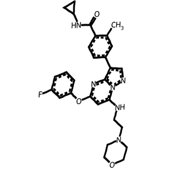 Cc1cc(-c2cnn3c(NCCN4CCOCC4)cc(Oc4cccc(F)c4)nc23)ccc1C(=O)NC1CC1